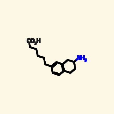 NC1CCc2ccc(CCCCCC(=O)O)cc2C1